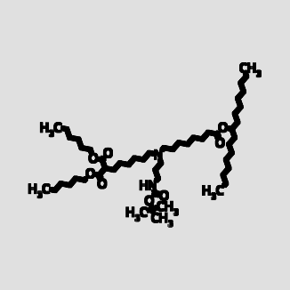 CCCCCCCCC(CCCCCCCC)OC(=O)CCCCCCCN(CCCCCCC(C(=O)OCCCCCC)C(=O)OCCCCCC)CCCNC(=O)OC(C)(C)C